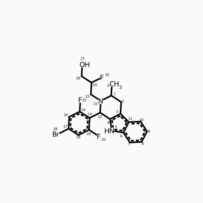 CC1Cc2c([nH]c3ccccc23)C(c2c(F)cc(Br)cc2F)N1CC(F)CO